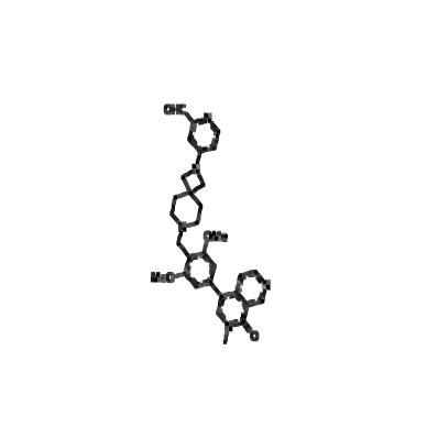 COc1cc(-c2cn(C)c(=O)c3cnccc23)cc(OC)c1CN1CCC2(CC1)CN(c1ccnc(C=O)c1)C2